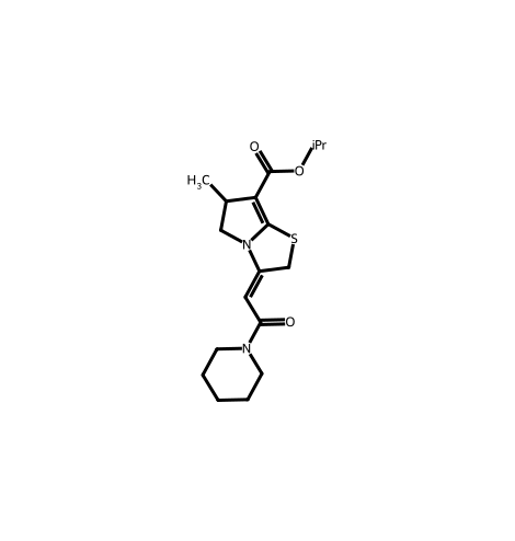 CC(C)OC(=O)C1=C2SC/C(=C\C(=O)N3CCCCC3)N2CC1C